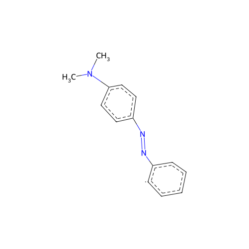 CN(C)c1ccc(N=Nc2[c]cccc2)cc1